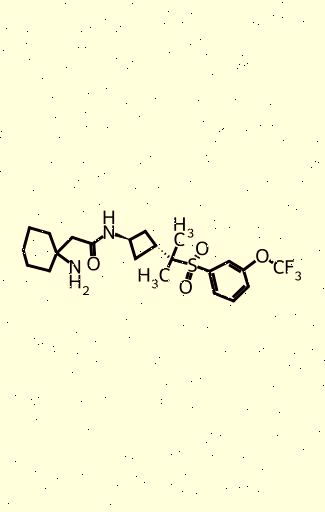 CC(C)([C@H]1C[C@H](NC(=O)CC2(N)CCCCC2)C1)S(=O)(=O)c1cccc(OC(F)(F)F)c1